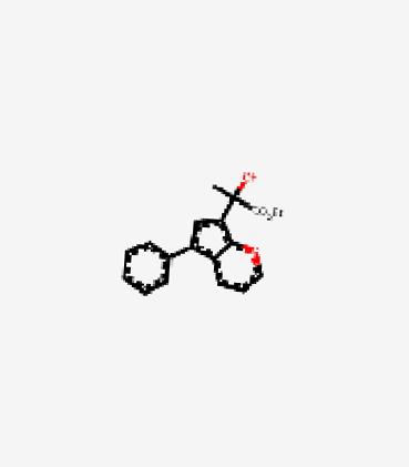 CCOC(=O)C(C)(O)c1cc(-c2ccccc2)c2cccoc1-2